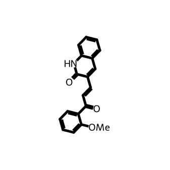 COc1ccccc1C(=O)C=Cc1cc2ccccc2[nH]c1=O